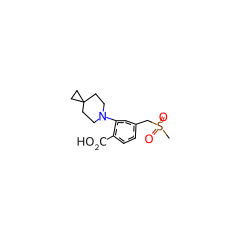 CS(=O)(=O)Cc1ccc(C(=O)O)c(N2CCC3(CC2)CC3)c1